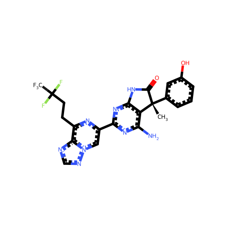 C[C@]1(c2cccc(O)c2)C(=O)Nc2nc(-c3cn4ncnc4c(CCC(F)(F)C(F)(F)F)n3)nc(N)c21